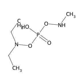 CCN(CC)OP(=O)(O)ONC